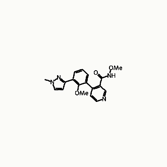 CONC(=O)c1cnccc1-c1cccc(-c2ccn(C)n2)c1OC